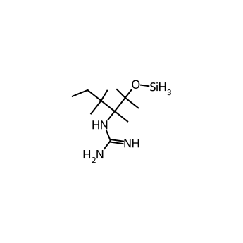 CCC(C)(C)C(C)(NC(=N)N)C(C)(C)O[SiH3]